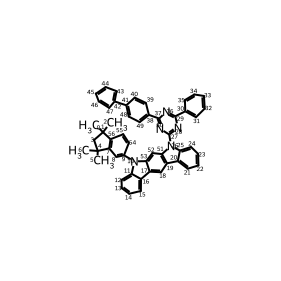 CC1(C)CC(C)(C)c2cc(-n3c4ccccc4c4cc5c6ccccc6n(-c6nc(-c7ccccc7)nc(-c7ccc(-c8ccccc8)cc7)n6)c5cc43)ccc21